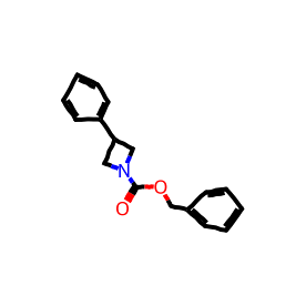 O=C(OCc1ccccc1)N1CC(c2ccccc2)C1